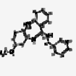 COc1ccc2c(c1)N=C(NCc1cccnc1)c1ccccc1N2